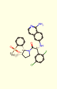 CCS(=O)(=O)c1ccccc1[C@H]1[C@@H](C(=O)O)CCN1C(=O)[C@H](Nc1ccc2c(N)nccc2c1)c1cc(Cl)ccc1F